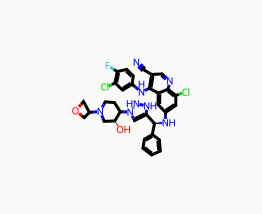 N#Cc1cnc2c(Cl)cc(N[C@H](C3=CN(C4CCN(C5COC5)C[C@H]4O)NN3)c3ccccc3)cc2c1Nc1ccc(F)c(Cl)c1